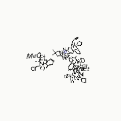 C#CCN1C(=O)COc2cc(F)c(/N=c3\snc4n3CC(C)(C)C4)cc21.CC1COc2ccccc2N1C(=O)C(Cl)Cl.CCNc1nc(Cl)nc(NC(C)(C)C)n1.CCc1cccc(C)c1N(C(=O)CCl)C(C)COC